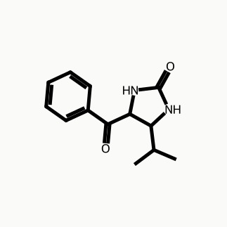 CC(C)C1NC(=O)NC1C(=O)c1ccccc1